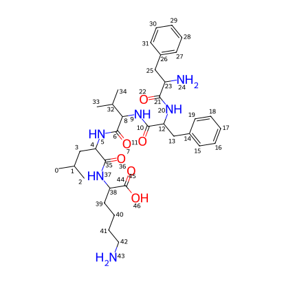 CC(C)CC(NC(=O)C(NC(=O)C(Cc1ccccc1)NC(=O)C(N)Cc1ccccc1)C(C)C)C(=O)NC(CCCCN)C(=O)O